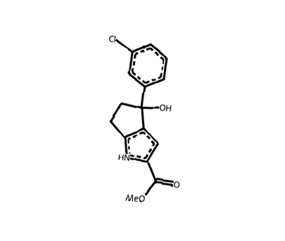 COC(=O)c1cc2c([nH]1)CCC2(O)c1cccc(Cl)c1